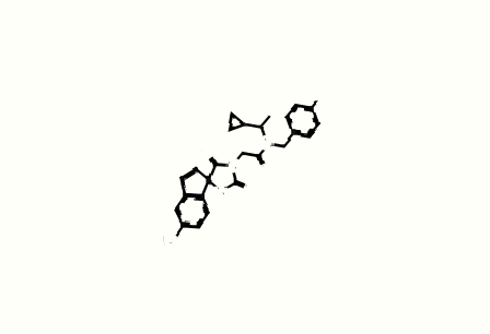 CC(C1CC1)N(Cc1ccc(F)cc1)C(=O)CN1C(=O)NC2(C=Cc3cc(Br)ccc32)C1=O